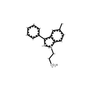 Cc1ccc2c(c1)c(-c1ccccc1)nn2CCC(=O)O